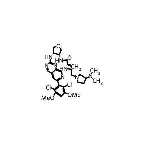 C=CC(=O)N[C@H]1COC[C@H]1Nc1ncc2cc(-c3c(Cl)c(OC)cc(OC)c3Cl)nc(NCCN3CCC(N(C)C)C3)c2n1